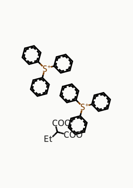 CCC(C(=O)[O-])C(=O)[O-].c1ccc([S+](c2ccccc2)c2ccccc2)cc1.c1ccc([S+](c2ccccc2)c2ccccc2)cc1